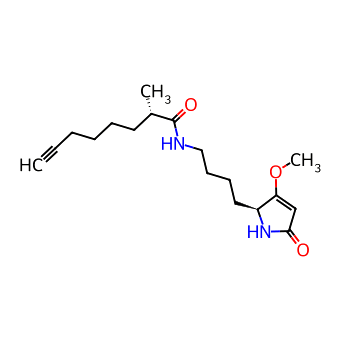 C#CCCCC[C@H](C)C(=O)NCCCC[C@@H]1NC(=O)C=C1OC